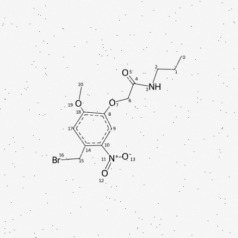 CCCNC(=O)COc1cc([N+](=O)[O-])c(CBr)cc1OC